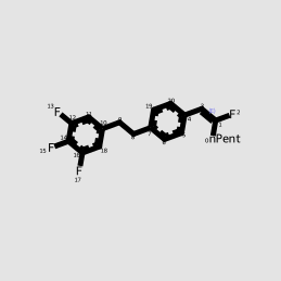 CCCCC/C(F)=C\c1ccc(CCc2cc(F)c(F)c(F)c2)cc1